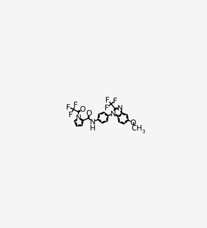 COc1ccc2c(c1)nc(C(F)(F)F)n2-c1ccc(NC(=O)c2cccn2C(=O)C(F)(F)F)cc1